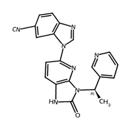 [C-]#[N+]c1ccc2ncn(-c3ccc4[nH]c(=O)n([C@H](C)c5cccnc5)c4n3)c2c1